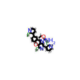 NC1=N[C@]2(CCO1)c1cc(-c3cccnc3F)ccc1Oc1c2cc(-c2cccnc2F)nc1F